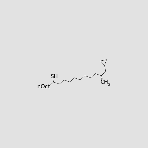 C=C(CCCCCCCCC(S)CCCCCCCC)CC1CC1